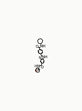 O=C(NC1CCCCCC1)c1ccc(-c2nc3cc(C(=O)NC4CC5CCC4CC5)ccc3[nH]2)cc1